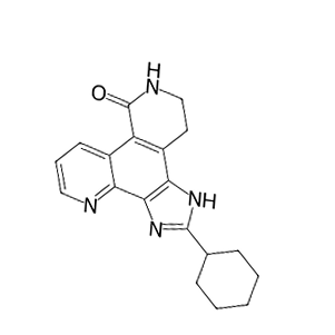 O=C1NCCc2c1c1cccnc1c1nc(C3CCCCC3)[nH]c21